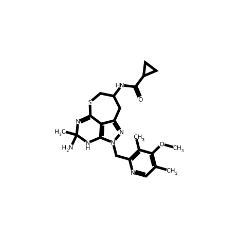 COc1c(C)cnc(Cn2nc3c4c2NC(C)(N)N=C4SCC(NC(=O)C2CC2)C3)c1C